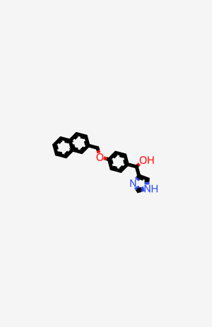 OC(c1ccc(OCc2ccc3ccccc3c2)cc1)c1c[nH]cn1